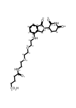 O=C(O)CCCC(=O)NCCOCCOCCNc1cccc2c1CN(C1CCC(=O)NC1=O)C2=O